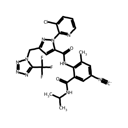 [C-]#[N+]c1cc(C)c(NC(=O)c2cc(Cn3nnnc3C(F)(F)F)nn2-c2ncccc2Cl)c(C(=O)NC(C)C)c1